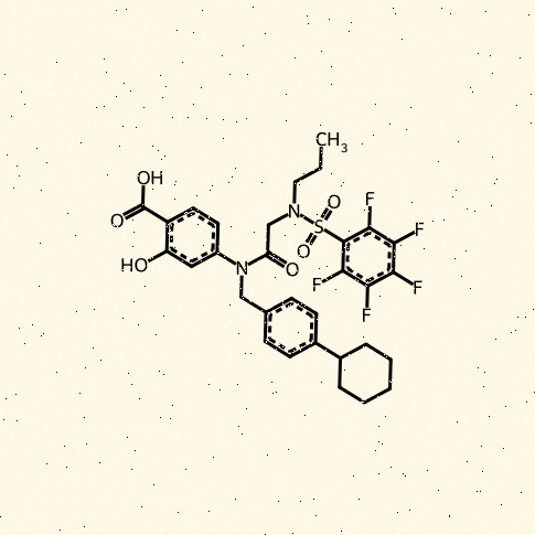 CCCN(CC(=O)N(Cc1ccc(C2CCCCC2)cc1)c1ccc(C(=O)O)c(O)c1)S(=O)(=O)c1c(F)c(F)c(F)c(F)c1F